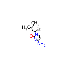 C=CC(C)CC(CC)n1ccc(N)nc1=O